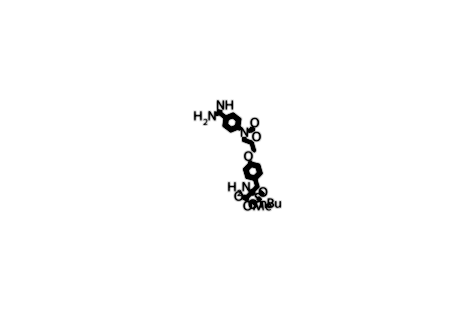 CCCCS(=O)(=O)C(N)(Cc1ccc(OCC2CN(c3ccc(C(=N)N)cc3)C(=O)O2)cc1)C(=O)OC